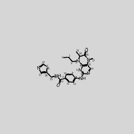 CCCN1c2nc(Nc3ccc(C(=O)NCc4cncs4)cc3)ncc2N(C)C(=O)C1C